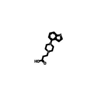 O=C(O)CCN1CCN(c2cccc3sccc23)CC1